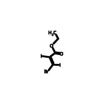 CCOC(=O)C(I)=C(Br)I